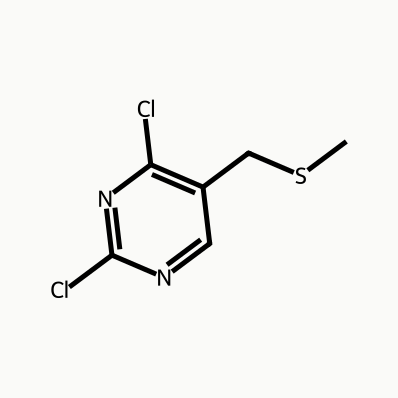 CSCc1cnc(Cl)nc1Cl